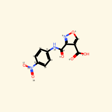 O=C(O)c1conc1C(=O)Nc1ccc([N+](=O)[O-])cc1